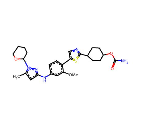 COc1cc(Nc2cc(C)n(C3CCCCO3)n2)ccc1-c1cnc(C2CCC(OC(N)=O)CC2)s1